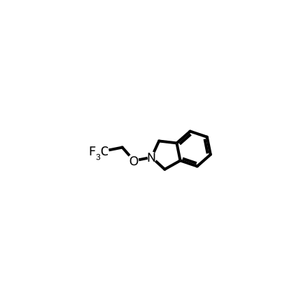 FC(F)(F)CON1Cc2ccccc2C1